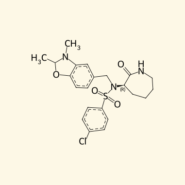 CC1Oc2ccc(CN([C@@H]3CCCCNC3=O)S(=O)(=O)c3ccc(Cl)cc3)cc2N1C